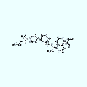 CCCNCCN(C)c1ccc(-c2cc(NC[C@@H](C)c3cccc4c(C(=O)NC)ccnc34)ncn2)cn1